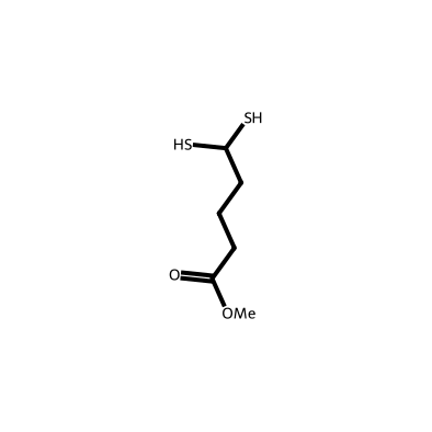 COC(=O)CCCC(S)S